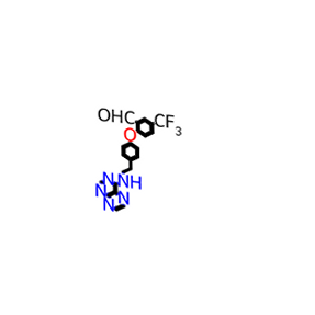 O=Cc1cc(C(F)(F)F)ccc1Oc1ccc(CCNc2ncnc3nccnc23)cc1